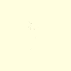 Cc1cc(-c2nnc(O)o2)ccc1C1CC1